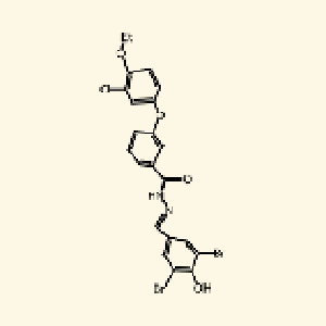 CCOc1ccc(Oc2cccc(C(=O)NN=Cc3cc(Br)c(O)c(Br)c3)c2)cc1Cl